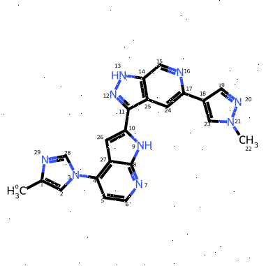 Cc1cn(-c2ccnc3[nH]c(-c4n[nH]c5cnc(-c6cnn(C)c6)cc45)cc23)cn1